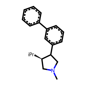 CC(C)[C@@H]1CN(C)CC1c1cccc(-c2ccccc2)c1